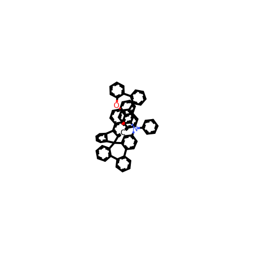 c1ccc(N(c2ccc3c(c2)-c2ccccc2-c2ccccc2O3)c2ccc3c(c2)C2(c4ccccc4-c4ccccc4-3)c3ccccc3-c3c2cc2ccc4cccc5ccc3c2c45)cc1